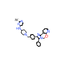 N#Cc1nccc(NC2CCN(Cc3ccc(-c4nc5n(c4-c4ccccc4)COc4ncccc4-5)cc3)CC2)n1